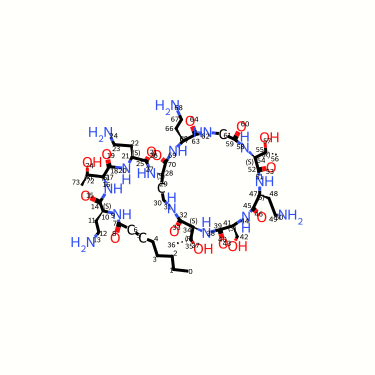 CCCCCCCC(=O)N[C@@H](CCN)C(=O)N[C@H](C(=O)N[C@@H](CCN)C(=O)N[C@H]1CCNC(=O)[C@H]([C@@H](C)O)NC(=O)[C@H](CO)NC(=O)[C@H](CCN)NC(=O)[C@H]([C@@H](C)O)NC(=O)CNC(=O)[C@H](CCN)NC1=O)[C@@H](C)O